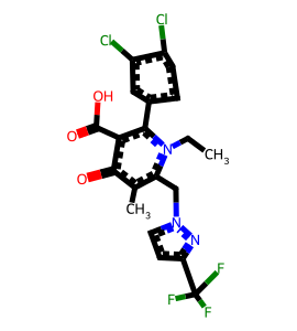 CCn1c(Cn2ccc(C(F)(F)F)n2)c(C)c(=O)c(C(=O)O)c1-c1ccc(Cl)c(Cl)c1